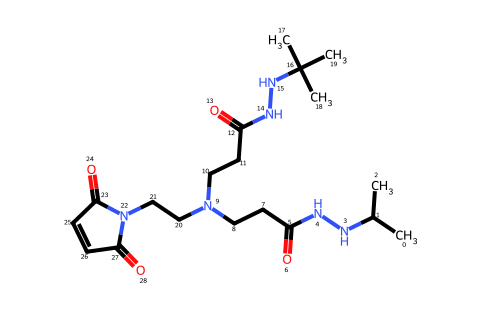 CC(C)NNC(=O)CCN(CCC(=O)NNC(C)(C)C)CCN1C(=O)C=CC1=O